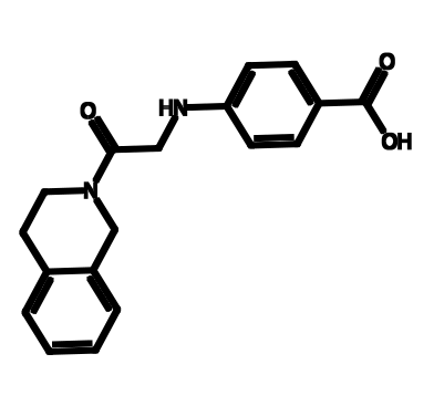 O=C(O)c1ccc(NCC(=O)N2CCc3ccccc3C2)cc1